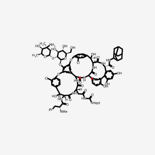 CCCCCCCC(=O)NC(=O)C[C@@H]1NC(=O)[C@H](NC(=O)[C@@H](CC(C)C)NC)[C@H](O)c2ccc(c(Cl)c2)Oc2cc3cc(c2O[C@@H]2O[C@H](CO)[C@@H](O)[C@H](O)[C@H]2O[C@H]2C[C@](C)(N)[C@H](O)[C@H](C)O2)Oc2ccc(cc2Cl)[C@@H](O)[C@@H]2NC(=O)[C@H](NC(=O)[C@@H]3NC1=O)c1ccc(O)c(c1)-c1c(O)cc(O)cc1[C@@H](C(=O)NC1C3CC4CC(C3)CC1C4)NC2=O